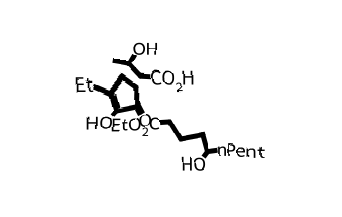 CC(O)CC(=O)O.CCC1=C(O)C(=O)CC1.CCCCCC(O)CCCC(=O)OCC